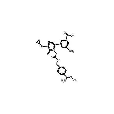 N/C(=N\O)c1ccc(CNC(=O)Cn2c(-c3cc(N)cc(C(=O)O)c3)cnc(NC3CC3)c2=O)cc1